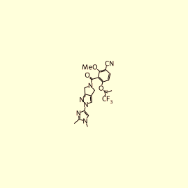 COc1c(C#N)ccc(O[C@@H](C)C(F)(F)F)c1C(=O)N1Cc2cn(-c3cn(C)c(C)n3)nc2C1